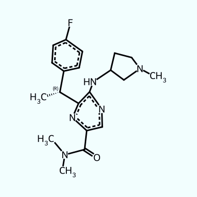 C[C@H](c1ccc(F)cc1)c1nc(C(=O)N(C)C)cnc1NC1CCN(C)C1